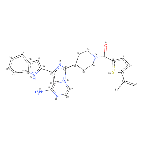 C=C(C)c1ccc(C(=O)N2CCC(c3nc(-c4cc5ccccc5[nH]4)c4c(N)nccn34)CC2)s1